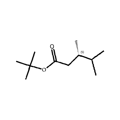 CC(C)[C@@H](C)CC(=O)OC(C)(C)C